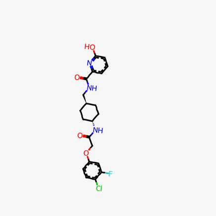 O=C(COc1ccc(Cl)c(F)c1)N[C@H]1CC[C@H](CNC(=O)c2cccc(O)n2)CC1